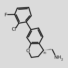 NC[C@@H]1CCOc2cc(-c3cccc(F)c3Cl)ccc21